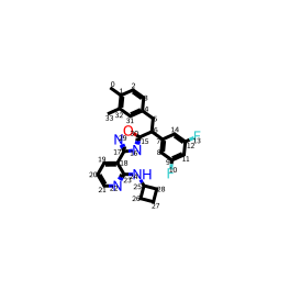 Cc1ccc(CC(c2cc(F)cc(F)c2)c2nc(-c3cccnc3NC3CCC3)no2)cc1C